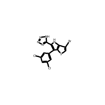 Clc1cc(Cl)cc(-c2c(-c3nnn[nH]3)[nH]c3c(Br)csc23)c1